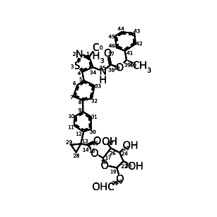 Cc1nsc(-c2ccc(-c3ccc(C4(C(=O)OC5OC(OC=O)C(O)C(O)C5O)CC4)cc3)cc2)c1NC(=O)O[C@H](C)c1ccccc1